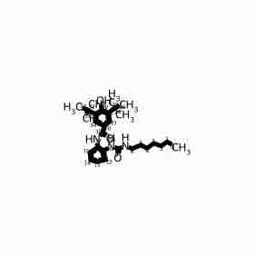 CCCCCCCNC(=O)Nc1ccccc1NC(=O)c1cc(C(C)(C)C)c(O)c(C(C)(C)C)c1